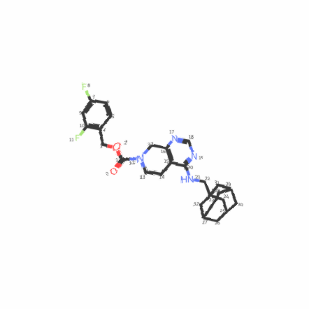 O=C(OCc1ccc(F)cc1F)N1CCc2c(ncnc2NCC23CC4CC(CC(C4)C2)C3)C1